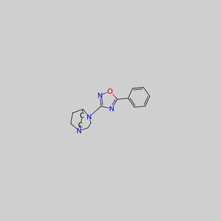 c1ccc(-c2nc(N3CCN4CCC3CC4)no2)cc1